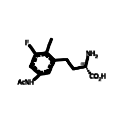 CC(=O)Nc1cc(F)c(C)c(CC[C@H](N)C(=O)O)c1